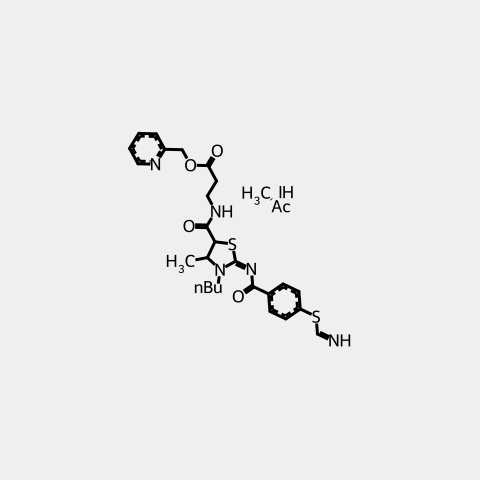 CC(C)=O.CCCCN1C(=NC(=O)c2ccc(SC=N)cc2)SC(C(=O)NCCC(=O)OCc2ccccn2)C1C.I